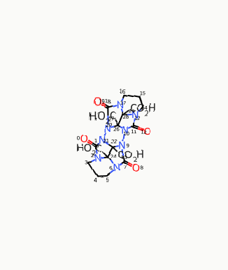 O=C1N2CCCN3C(=O)N4N5C(=O)N6CCCN7C(=O)N(N1C4(C(=O)O)C23C(=O)O)C5(C(=O)O)C76C(=O)O